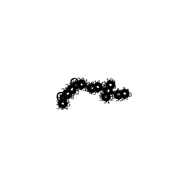 c1ccc2cc(-c3c4ccccc4c(-c4ccc5cc(-c6ccc7oc8cc9cc%10oc%11ccccc%11c%10cc9cc8c7c6)ccc5c4)c4ccccc34)ccc2c1